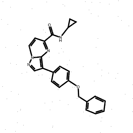 O=C(NC1CC1)c1ccn2ncc(-c3ccc(OCc4ccccc4)cc3)c2n1